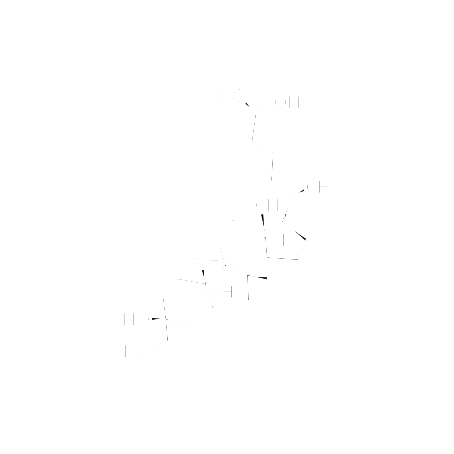 CC[C@]1(O)CC[C@@]2(C)C(=CC[C@H]3[C@@H]4CC[C@H]([C@H](C)CCC[C@@H](C)O)[C@@]4(C)CC[C@@H]32)C1